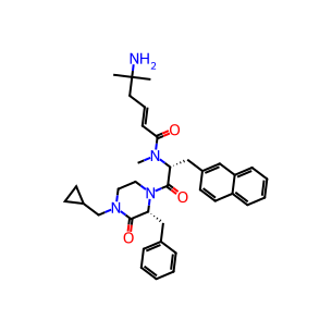 CN(C(=O)C=CCC(C)(C)N)[C@H](Cc1ccc2ccccc2c1)C(=O)N1CCN(CC2CC2)C(=O)[C@H]1Cc1ccccc1